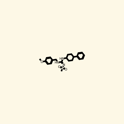 COc1ccc(CN/C(=N\S(C)(=O)=O)NC2CCC(c3ccccc3)CC2)cc1